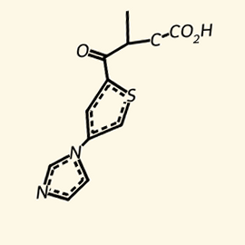 CC(CC(=O)O)C(=O)c1cc(-n2ccnc2)cs1